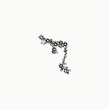 O=C1CCC(N2Cc3c(NCCOCCOCCN4CC(COc5cccc(-c6ccc(Cl)cc6)c5CN5CCN(c6ccc(C(=O)NS(=O)(=O)c7ccc(NCC8CCOCC8)c([N+](=O)[O-])c7)c(Oc7cnc8[nH]ccc8c7)c6)CC5)C4)cccc3C2=O)C(=O)N1